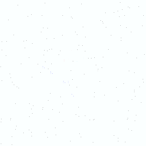 O=C(Cn1ccnc1)NCc1nccc(-c2ccc(C(F)(F)F)cc2)c1C(F)(F)F.O=C(O)C(F)(F)F